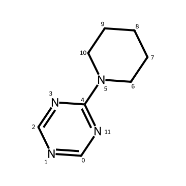 c1ncnc(N2CCCCC2)n1